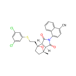 C[C@@]12CC[C@@](CCSc3cc(Cl)cc(Cl)c3)(O1)[C@H]1C(=O)N(c3ccc(C#N)c4ccccc34)C(=O)[C@H]12